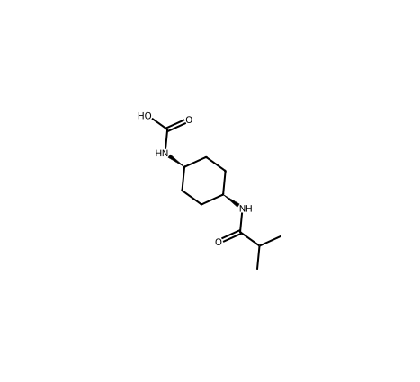 CC(C)C(=O)N[C@H]1CC[C@@H](NC(=O)O)CC1